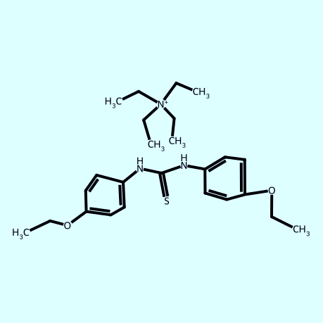 CCOc1ccc(NC(=S)Nc2ccc(OCC)cc2)cc1.CC[N+](CC)(CC)CC